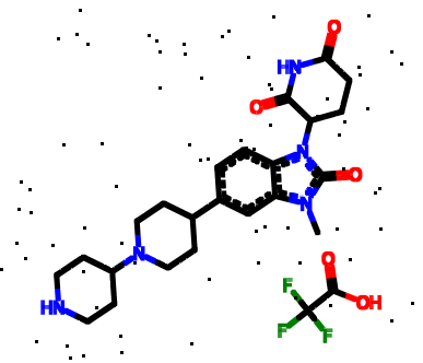 Cn1c(=O)n(C2CCC(=O)NC2=O)c2ccc(C3CCN(C4CCNCC4)CC3)cc21.O=C(O)C(F)(F)F